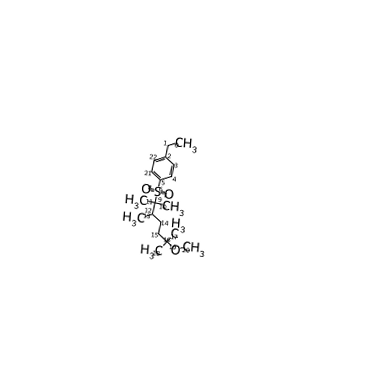 CCc1ccc(S(=O)(=O)C(C)(C)C(C)CCC(C)(C)OC)cc1